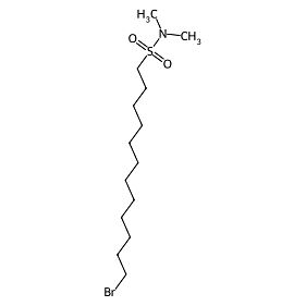 CN(C)S(=O)(=O)CCCCCCCCCCCCBr